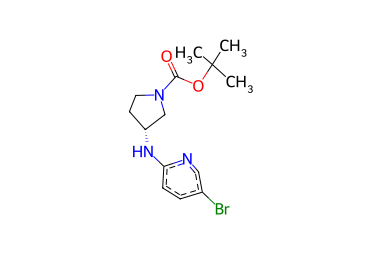 CC(C)(C)OC(=O)N1CC[C@@H](Nc2ccc(Br)cn2)C1